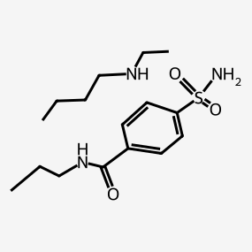 CCCCNCC.CCCNC(=O)c1ccc(S(N)(=O)=O)cc1